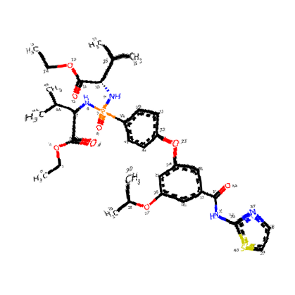 CCOC(=O)C(NP(=O)(N[C@H](C(=O)OCC)C(C)C)c1ccc(Oc2cc(OC(C)C)cc(C(=O)Nc3nccs3)c2)cc1)C(C)C